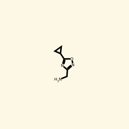 NCc1noc(C2CC2)n1